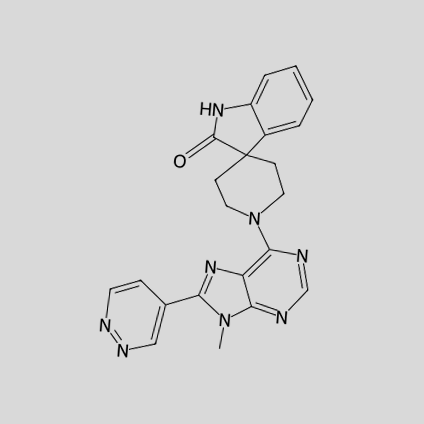 Cn1c(-c2ccnnc2)nc2c(N3CCC4(CC3)C(=O)Nc3ccccc34)ncnc21